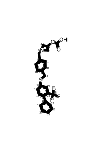 O=C(O)OC1CN(Cc2ccc(CSc3ccc(-c4ccccc4)c(C(F)(F)F)c3)cc2)C1